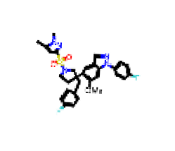 COc1cc2c(cnn2-c2ccc(F)cc2)cc1C1(Cc2ccc(F)cc2)CCN(S(=O)(=O)c2cc(C)n(C)n2)C1